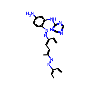 C=C/C(=C\C)N=N/C(C)=C/C=C(\C=C)N=Nc1ccc(N)cc1Nc1ncncn1